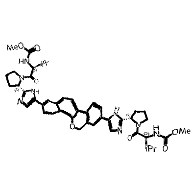 COC(=O)N[C@H](C(=O)N1CCC[C@H]1c1ncc(-c2ccc3c(c2)COc2c-3ccc3cc(-c4cnc([C@@H]5CCCN5C(=O)[C@@H](NC(=O)OC)C(C)C)[nH]4)ccc23)[nH]1)C(C)C